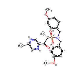 COc1ccc(CN(Cc2ccc(OC)cc2)S(=O)(=O)[C@@H](C)C(=O)c2cnc(C)cn2)cc1